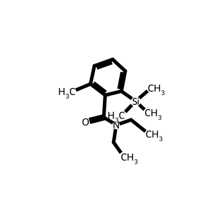 CCN(CC)C(=O)c1c(C)cccc1[Si](C)(C)C